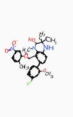 COc1cc(F)ccc1-c1ccc2c(c1COc1cc([N+](=O)[O-])ccc1C)N(C)C(O)C(C)(C)N2